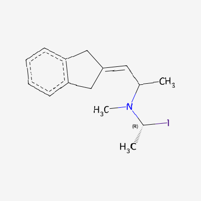 CC(C=C1Cc2ccccc2C1)N(C)[C@@H](C)I